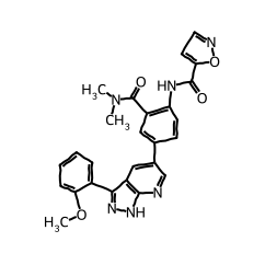 COc1ccccc1-c1n[nH]c2ncc(-c3ccc(NC(=O)c4ccno4)c(C(=O)N(C)C)c3)cc12